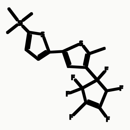 Cc1sc(-c2ccc([Si](C)(C)C)s2)cc1C1(F)C(F)C(F)=C(F)C1(F)F